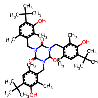 Cc1cc(C(C)(C)C)c(O)c(C)c1CN1C(=O)N(Cc2c(C)cc(C(C)(C)C)c(O)c2C)C(O)N(Cc2c(C)cc(C(C)(C)C)c(O)c2C)C1=O